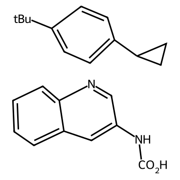 CC(C)(C)c1ccc(C2CC2)cc1.O=C(O)Nc1cnc2ccccc2c1